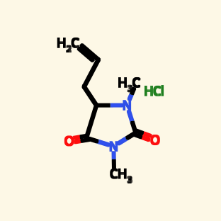 C=CCC1C(=O)N(C)C(=O)N1C.Cl